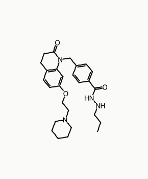 CCCNNC(=O)c1ccc(CN2C(=O)CCc3ccc(OCCN4CCCCC4)cc32)cc1